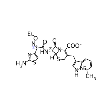 CCO/N=C(\C(=O)N[C@@H]1C(=O)N2C(C(=O)[O-])=C(Cc3c[nH][n+]4c(C)cccc34)CS[C@@H]12)c1csc(N)n1